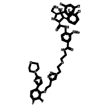 COc1cc(C(=O)NCCOCCn2cc(CCOc3c(-c4csc(N5CCOCC5)n4)ccc(F)c3F)nn2)ccc1NC(=O)[C@@H]1N[C@@H](CC(C)(C)C)[C@](C#N)(c2ccc(Cl)cc2F)[C@H]1c1cccc(Cl)c1F